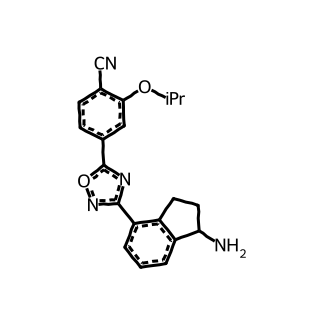 CC(C)Oc1cc(-c2nc(-c3cccc4c3CCC4N)no2)ccc1C#N